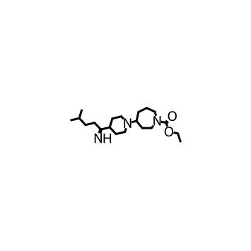 CCOC(=O)N1CCCC(N2CCC(C(=N)CCC(C)C)CC2)CC1